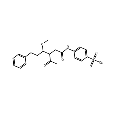 COC(CCc1ccccc1)C(CC(=O)Nc1ccc(S(=O)(=O)O)cc1)C(C)=O